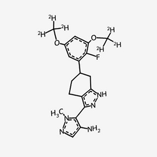 [2H]C([2H])([2H])Oc1cc(OC([2H])([2H])[2H])c(F)c(C2CCc3c(-c4c(N)cnn4C)n[nH]c3C2)c1